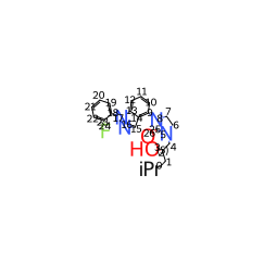 CC(C)C[C@H](O)CN1CCN(c2cccc3c2cnn3-c2ccccc2F)C1=O